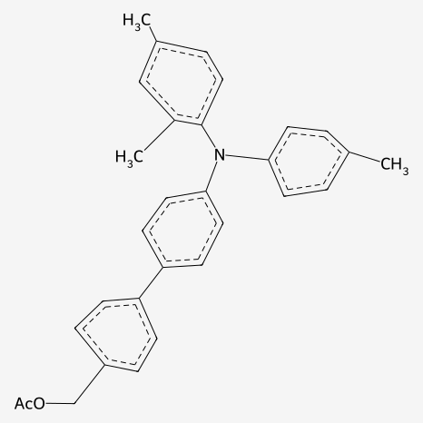 CC(=O)OCc1ccc(-c2ccc(N(c3ccc(C)cc3)c3ccc(C)cc3C)cc2)cc1